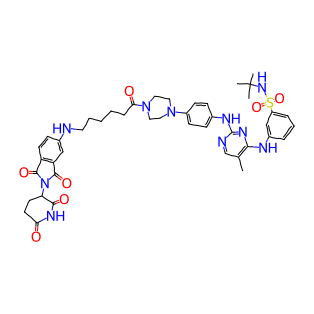 Cc1cnc(Nc2ccc(N3CCN(C(=O)CCCCCNc4ccc5c(c4)C(=O)N(C4CCC(=O)NC4=O)C5=O)CC3)cc2)nc1Nc1cccc(S(=O)(=O)NC(C)(C)C)c1